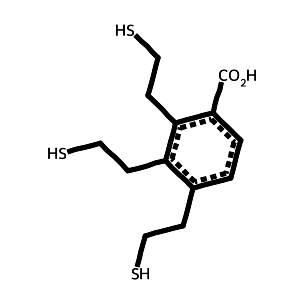 O=C(O)c1ccc(CCS)c(CCS)c1CCS